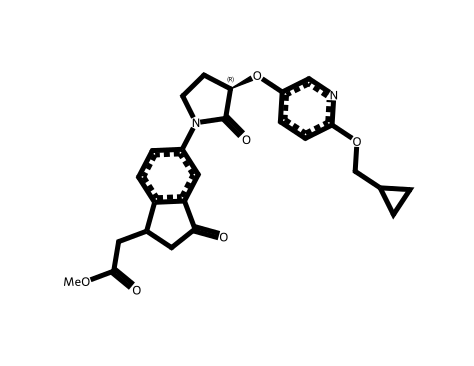 COC(=O)CC1CC(=O)c2cc(N3CC[C@@H](Oc4ccc(OCC5CC5)nc4)C3=O)ccc21